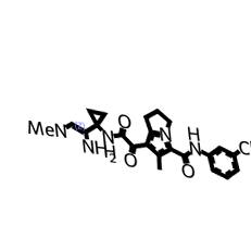 CN/C=C(\N)C1(NC(=O)C(=O)c2c(C)c(C(=O)Nc3cccc(Cl)c3)n3c2CCC3)CC1